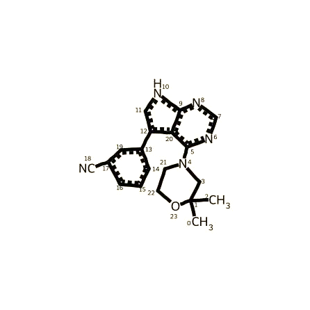 CC1(C)CN(c2ncnc3[nH]cc(-c4cccc(C#N)c4)c23)CCO1